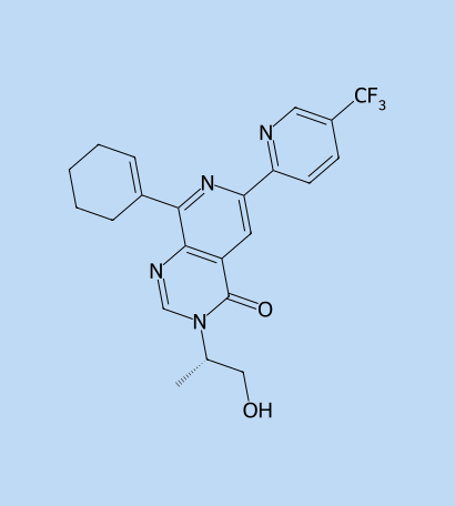 C[C@@H](CO)n1cnc2c(C3=CCCCC3)nc(-c3ccc(C(F)(F)F)cn3)cc2c1=O